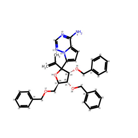 C=C(C)C1(c2ccc3c(N)ncnn23)O[C@H](COCc2ccccc2)[C@@H](OCc2ccccc2)[C@H]1OCc1ccccc1